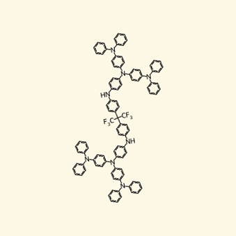 FC(F)(F)C(c1ccc(Nc2ccc(N(c3ccc(N(c4ccccc4)c4ccccc4)cc3)c3ccc(N(c4ccccc4)c4ccccc4)cc3)cc2)cc1)(c1ccc(Nc2ccc(N(c3ccc(N(c4ccccc4)c4ccccc4)cc3)c3ccc(N(c4ccccc4)c4ccccc4)cc3)cc2)cc1)C(F)(F)F